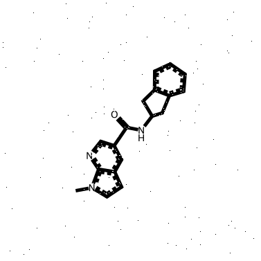 Cn1ccc2cc(C(=O)NC3Cc4ccccc4C3)cnc21